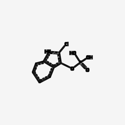 O=P(O)(O)Oc1c(Cl)[nH]c2ccccc12